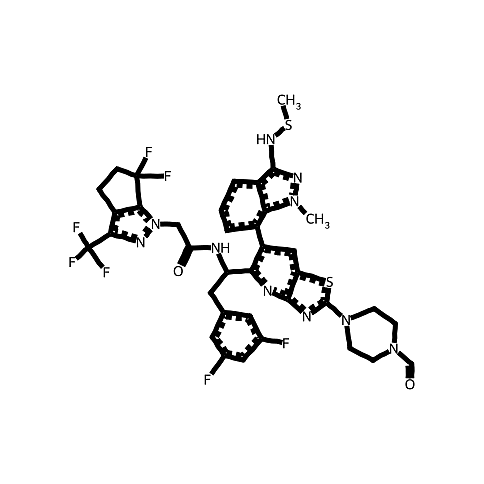 CSNc1nn(C)c2c(-c3cc4sc(N5CCN(C=O)CC5)nc4nc3C(Cc3cc(F)cc(F)c3)NC(=O)Cn3nc(C(F)(F)F)c4c3C(F)(F)CC4)cccc12